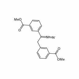 COC(=O)c1cccc(CC(=[N+]=[N-])c2cccc(C(=O)OC)c2)c1